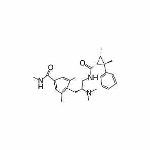 CNC(=O)c1cc(C)c(C[C@@H](CNC(=O)[C@@H]2[C@H](C)[C@]2(C)c2ccccc2)N(C)C)c(C)c1